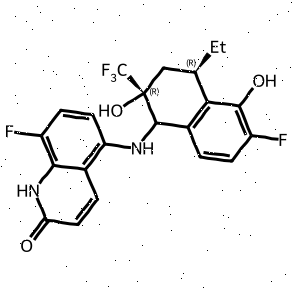 CC[C@@H]1C[C@](O)(C(F)(F)F)C(Nc2ccc(F)c3[nH]c(=O)ccc23)c2ccc(F)c(O)c21